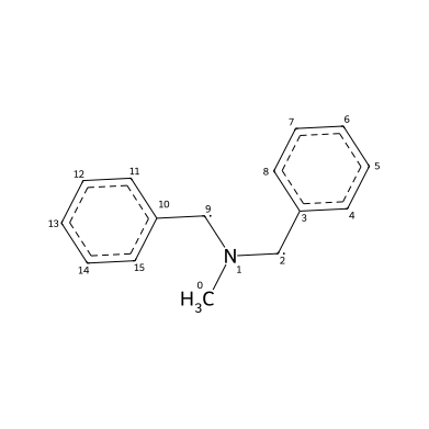 CN([CH]c1ccccc1)[CH]c1ccccc1